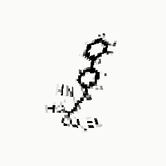 CCOC(=O)C(O)C[C@H](N)Cc1ccc(-c2ccccc2)cc1